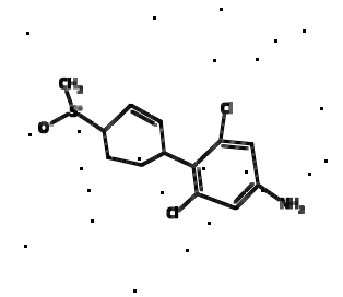 C[S+]([O-])C1C=CC(c2c(Cl)cc(N)cc2Cl)CC1